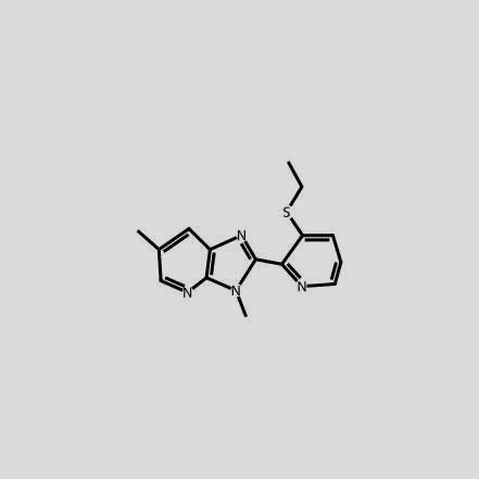 CCSc1cccnc1-c1nc2cc(C)cnc2n1C